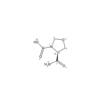 NC(=O)[C@@H]1COCN1C(=O)O